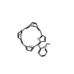 CC[n+]1ccccc1-c1c2nc(cc3ccc(cc4nc(cc5ccc1[nH]5)C=C4)[nH]3)C=C2